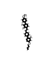 C=CCCOc1ccc(C2=CCC(CCc3ccc(-c4ccc(OCC)cc4)c(F)c3F)CC2)c(F)c1